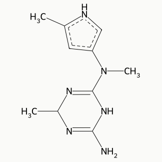 Cc1cc(N(C)C2=NC(C)N=C(N)N2)c[nH]1